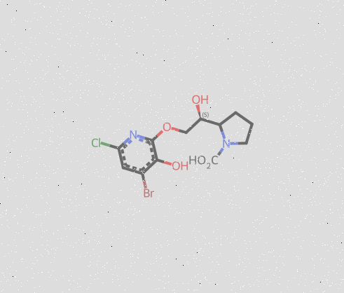 O=C(O)N1CCCC1[C@H](O)COc1nc(Cl)cc(Br)c1O